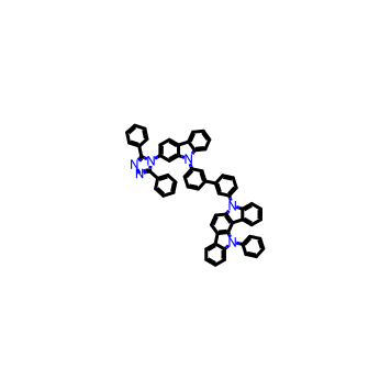 c1ccc(-c2nnc(-c3ccccc3)n2-c2ccc3c4ccccc4n(-c4cccc(-c5cccc(-n6c7ccccc7c7c6ccc6c8ccccc8n(-c8ccccc8)c67)c5)c4)c3c2)cc1